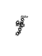 COc1ccc(Cn2nc(Nc3ccccc3[N+](=O)[O-])c3c(Oc4ccc(Oc5ccccc5)cc4)ccnc32)cc1